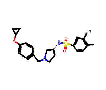 Cc1ccc(S(=O)(=O)N[C@@H]2CCN(Cc3ccc(OC4CC4)cc3)C2)cc1C#N